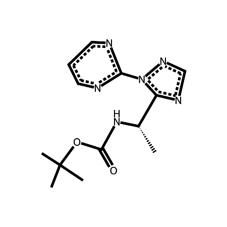 C[C@H](NC(=O)OC(C)(C)C)c1ncnn1-c1ncccn1